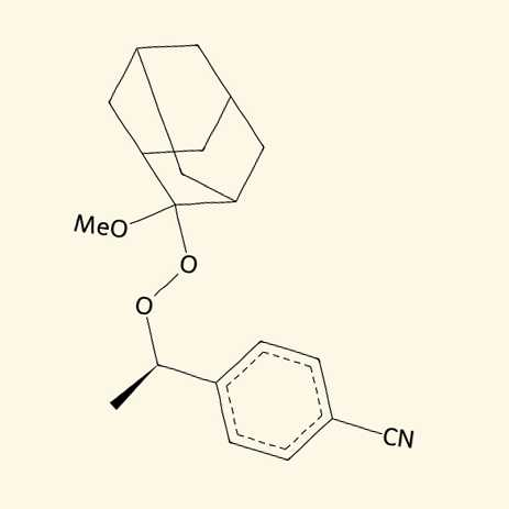 COC1(OO[C@H](C)c2ccc(C#N)cc2)C2CC3CC(C2)CC1C3